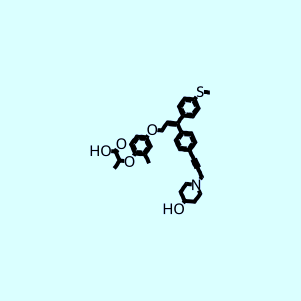 CSc1ccc(C(=CCOc2ccc(OC(C)C(=O)O)c(C)c2)c2ccc(C#CCN3CCC(O)CC3)cc2)cc1